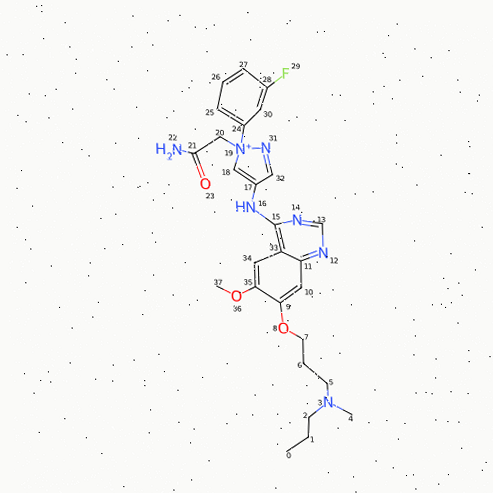 CCCN(C)CCCOc1cc2ncnc(NC3=C[N+](CC(N)=O)(c4cccc(F)c4)N=C3)c2cc1OC